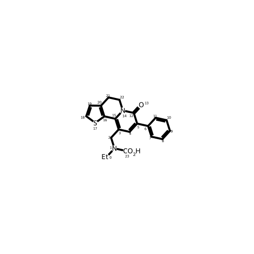 CCN(Cc1cc(-c2ccccc2)c(=O)n2c1-c1sccc1CC2)C(=O)O